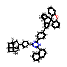 c1ccc2c(c1)Oc1ccccc1C21c2ccccc2-c2cc(-c3ccc(-c4nc(-c5ccc(C67C[C@H]8CC9C[C@@H](C6)C98C7)cc5)nc(-c5cccc6ccccc56)n4)cc3)ccc21